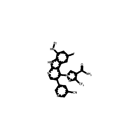 CCNc1cc(F)cc2c1[nH]c1ncc(-c3cncc(C#N)c3)c(-n3cc(C(N)=O)c(C(F)(F)F)n3)c12